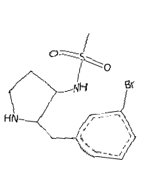 CS(=O)(=O)NC1CCNC1Cc1cccc(Br)c1